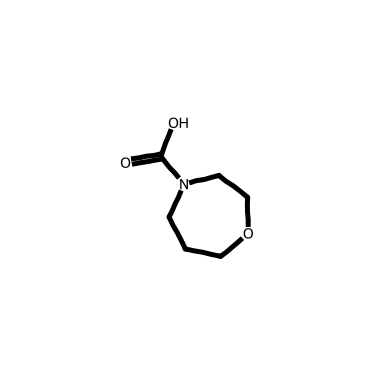 O=C(O)N1CCCOCC1